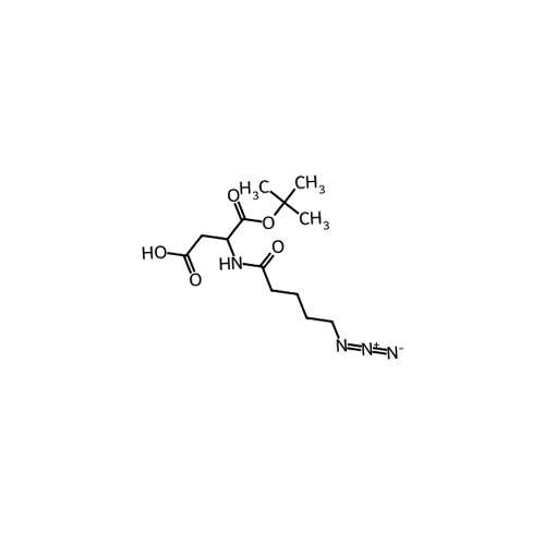 CC(C)(C)OC(=O)C(CC(=O)O)NC(=O)CCCCN=[N+]=[N-]